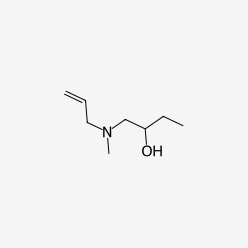 C=CCN(C)CC(O)CC